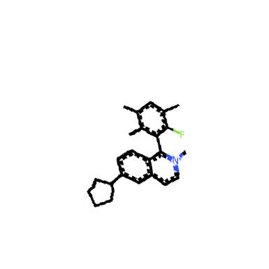 Cc1cc(C)c(F)c(-c2c3ccc(C4CCCC4)cc3cc[n+]2C)c1C